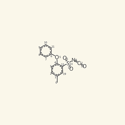 Cc1ccc(Oc2ccccc2)c(S(=O)(=O)N=C=O)c1